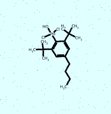 CCCCc1cc(C(C)(C)C)c([PH](O)(Cl)Cl)c(C(C)(C)C)c1